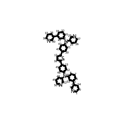 c1cncc(-c2cccc(N(c3ccc(-c4ccc(-c5ccc(N(c6cccnc6)c6cccc(-c7cccnc7)c6)cc5)s4)cc3)c3cccnc3)c2)c1